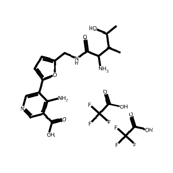 CC(O)C(C)C(N)C(=O)NCc1ccc(-c2cncc(C(=O)O)c2N)o1.O=C(O)C(F)(F)F.O=C(O)C(F)(F)F